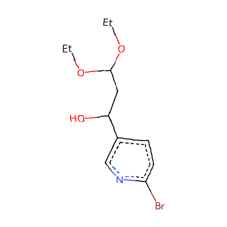 CCOC(CC(O)c1ccc(Br)nc1)OCC